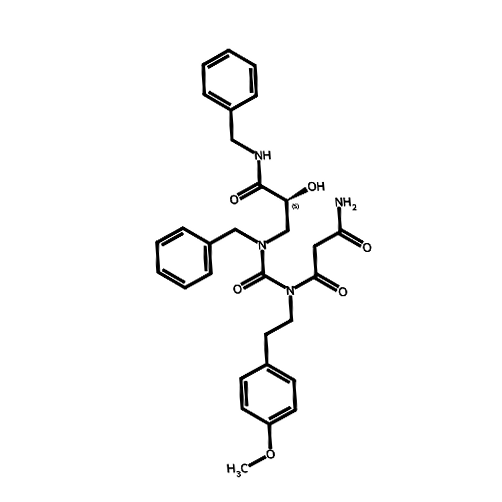 COc1ccc(CCN(C(=O)CC(N)=O)C(=O)N(Cc2ccccc2)C[C@H](O)C(=O)NCc2ccccc2)cc1